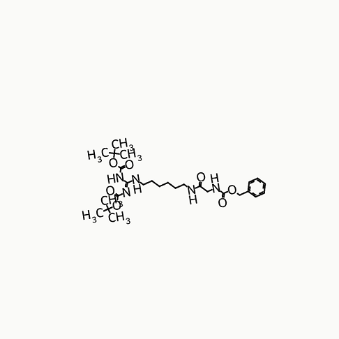 CC(C)(C)OC(=O)N=C(NCCCCCCNC(=O)CNC(=O)OCc1ccccc1)NC(=O)OC(C)(C)C